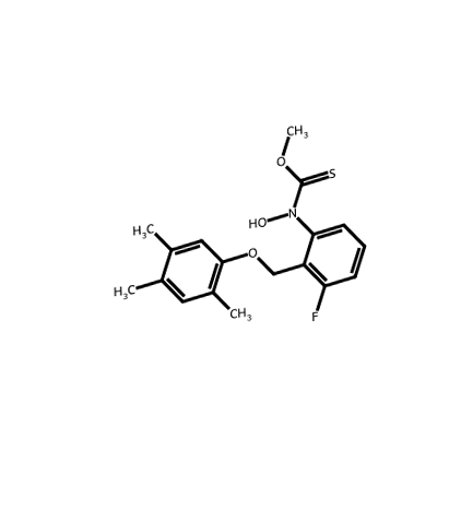 COC(=S)N(O)c1cccc(F)c1COc1cc(C)c(C)cc1C